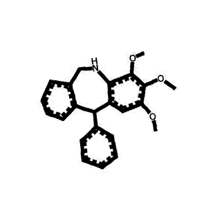 COc1cc2c(c(OC)c1OC)NCc1ccccc1C2c1ccccc1